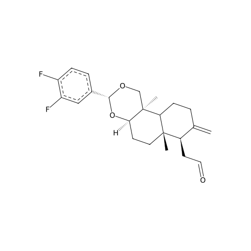 C=C1CCC2[C@]3(C)CO[C@@H](c4ccc(F)c(F)c4)O[C@@H]3CC[C@@]2(C)[C@@H]1CC=O